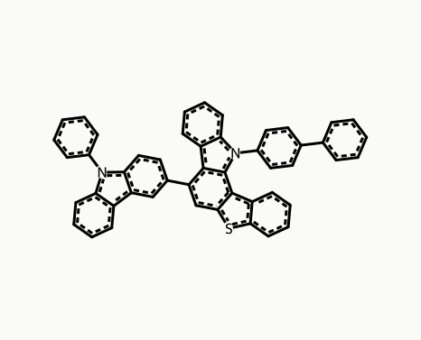 c1ccc(-c2ccc(-n3c4ccccc4c4c(-c5ccc6c(c5)c5ccccc5n6-c5ccccc5)cc5sc6ccccc6c5c43)cc2)cc1